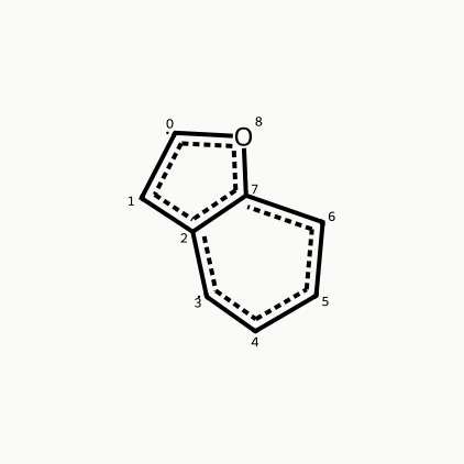 [c]1cc2[c]cccc2o1